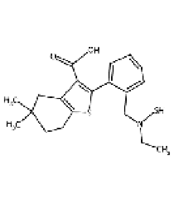 CCN(S)Cc1ccccc1-c1sc2c(c1C(=O)O)CC(C)(C)CC2